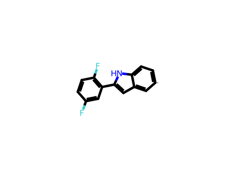 Fc1ccc(F)c(-c2cc3c[c]ccc3[nH]2)c1